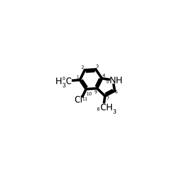 Cc1ccc2[nH]cc(C)c2c1Cl